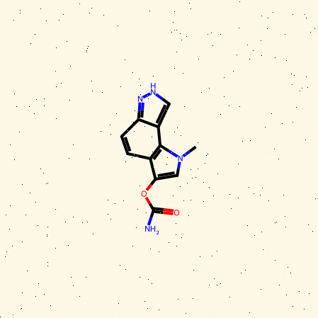 Cn1cc(OC(N)=O)c2ccc3n[nH]cc3c21